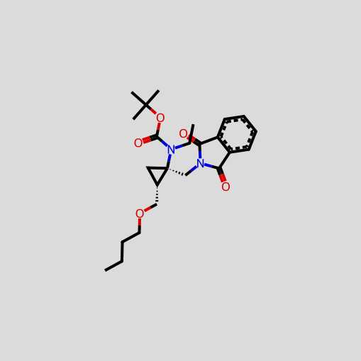 CCCCOC[C@@H]1C[C@@]1(CN1C(=O)c2ccccc2C1=O)N(CC)C(=O)OC(C)(C)C